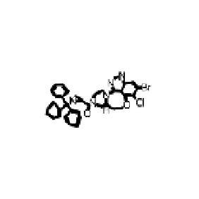 O=C(C1C[N@@]1C(c1ccccc1)(c1ccccc1)c1ccccc1)N1CCN2c3ncnc4cc(Br)c(Cl)c(c34)OCC[C@@H]2C1